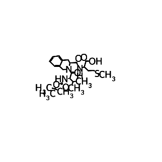 CSCCC(NC(=O)C1Cc2ccccc2CN1C(=O)[C@@H](NC(=O)OC(C)(C)C)C(C)C)C(=O)O